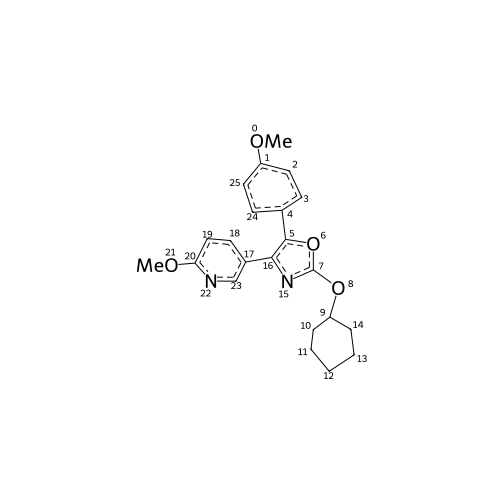 COc1ccc(-c2oc(OC3CCCCC3)nc2-c2ccc(OC)nc2)cc1